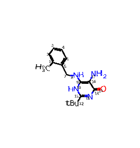 Cc1ccccc1CNc1[nH]c(C(C)(C)C)nc(=O)c1N